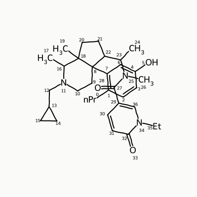 CCCc1ccc(O)cc1C12CCN(CC3CC3)C(C)C1(C)CCC2C(C)N(C)C(=O)c1ccc(=O)n(CC)c1